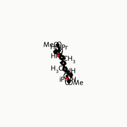 COC(=O)N[C@H](C(=O)N1CCC[C@H]1c1nc2cc(C)c(-c3ccc(-c4cc5[nH]c([C@@H]6CCCN6C(=O)[C@@H](NC(=O)OC)C(C)C)nc5cc4C)cc3)cc2[nH]1)C(C)C